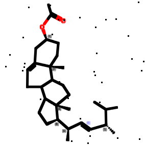 CC(=O)O[C@H]1CC[C@@]2(C)C(=CCC3C2CC[C@@]2(C)C3CC[C@@H]2[C@H](C)/C=C/[C@@H](C)C(C)C)C1